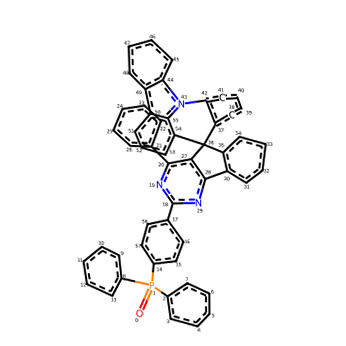 O=P(c1ccccc1)(c1ccccc1)c1ccc(-c2nc(-c3ccccc3)c3c(n2)-c2ccccc2C32c3ccccc3-n3c4ccccc4c4cccc2c43)cc1